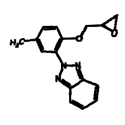 Cc1ccc(OCC2CO2)c(-n2nc3ccccc3n2)c1